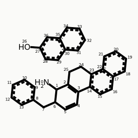 NC1C2=C(C=CC1Cc1ccccc1)c1ccc3ccccc3c1CC2.Oc1ccc2ccccc2c1